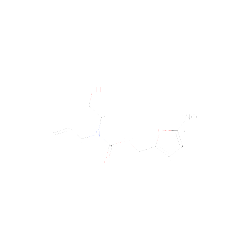 C=CCN(CCO)C(=O)OCc1ccc([N+](=O)[O-])o1